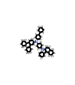 c1ccc(-c2ccc(N(c3ccc(-n4c5ccccc5c5c6ccccc6ccc54)cc3)c3ccc(-c4ccccc4)c(-c4ccccc4)c3)cc2)cc1